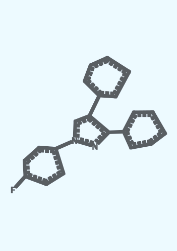 Fc1ccc(-n2cc(-c3ccccc3)c(-c3ccccc3)n2)cc1